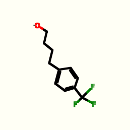 [O]CCCCc1ccc(C(F)(F)F)cc1